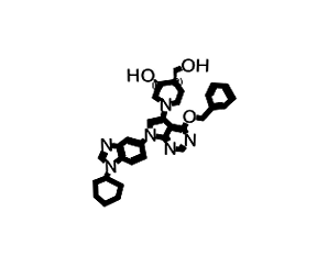 OC[C@H]1CCN(c2cn(-c3ccc4c(c3)ncn4C3CCCCC3)c3ncnc(OCc4ccccc4)c23)C[C@@H]1O